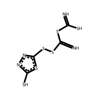 N=C(S)SC(=N)SSc1nnc(S)s1